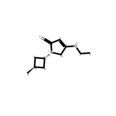 CCOC1=CC(=O)N([C@H]2C[C@H](C)C2)C1